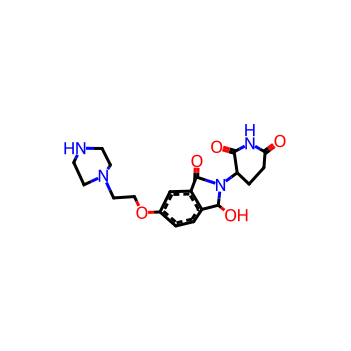 O=C1CCC(N2C(=O)c3cc(OCCN4CCNCC4)ccc3C2O)C(=O)N1